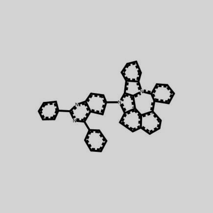 c1ccc(-c2nc(-c3ccccc3)c3cc(-n4c5ccc6cccc7c8ccccc8n8c9ccccc9c4c8c5c67)ccc3n2)cc1